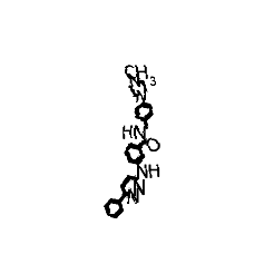 CN1CCN(c2ccc(CNC(=O)c3cccc(Nc4ccc(-c5ccccc5)nn4)c3)cc2)CC1